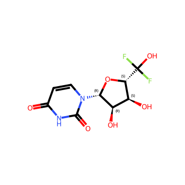 O=c1ccn([C@@H]2O[C@H](C(O)(F)F)[C@@H](O)[C@H]2O)c(=O)[nH]1